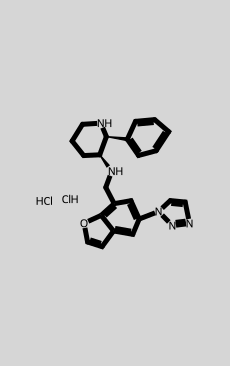 Cl.Cl.c1ccc([C@@H]2NCCC[C@@H]2NCc2cc(-n3ccnn3)cc3ccoc23)cc1